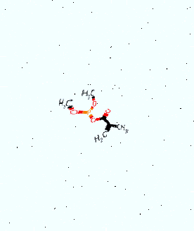 C=C(C)C(=O)OP(OC)OC